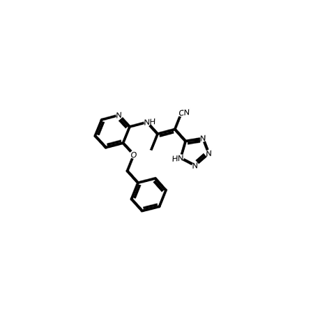 CC(Nc1ncccc1OCc1ccccc1)=C(C#N)c1nnn[nH]1